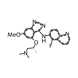 COc1cc(O[C@H](C)CN(C)C)c2c(Nc3ccc4ncccc4c3F)ncnc2c1